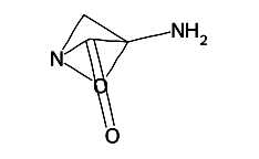 NC12CN(O1)C2=O